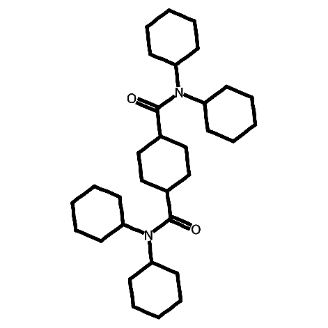 O=C(C1CCC(C(=O)N(C2CCCCC2)C2CCCCC2)CC1)N(C1CCCCC1)C1CCCCC1